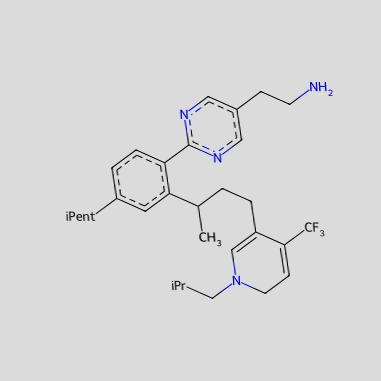 CCCC(C)c1ccc(-c2ncc(CCN)cn2)c(C(C)CCC2=CN(CC(C)C)CC=C2C(F)(F)F)c1